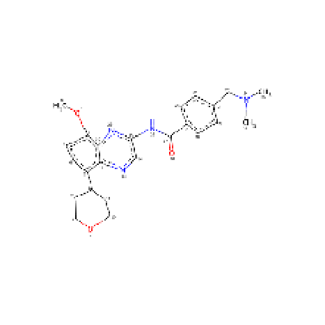 COc1ccc(C2CCOCC2)c2ncc(NC(=O)c3ccc(CN(C)C)cc3)nc12